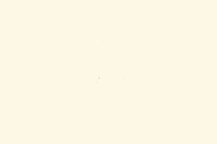 CCOC(=O)C(O)c1cc(F)c(F)cc1F